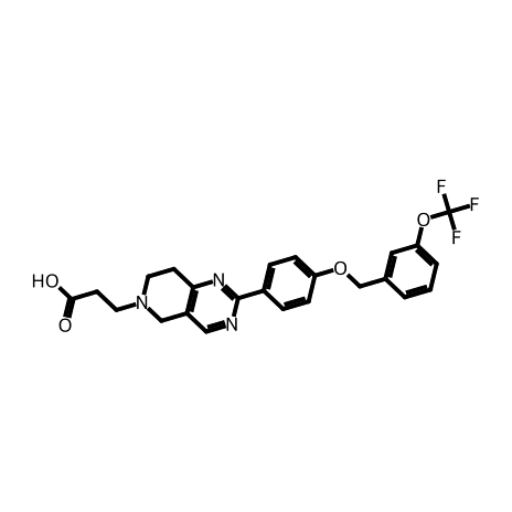 O=C(O)CCN1CCc2nc(-c3ccc(OCc4cccc(OC(F)(F)F)c4)cc3)ncc2C1